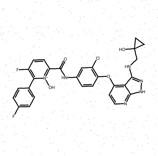 O=C(Nc1ccc(Oc2ccnc3[nH]nc(NCC4(O)CC4)c23)c(Cl)c1)c1ccc(F)c(-c2ccc(F)cc2)[n+]1O